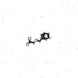 O=C(Cl)COCC1CC2C=CC1C2